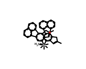 CC1=Cc2[c]([Zr]([CH3])([CH3])([CH3])([CH3])(=[SiH2])[c]3cc4c(c5c3C=C(C)C5)-c3cccc5cccc-4c35)cc3c(c2C1)-c1cccc2cccc-3c12